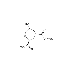 COC(=O)[C@@H]1CN(C(=O)OC(C)(C)C)C[C@@H](O)CO1